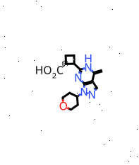 C=C1NC(C2CC[C@H]2C(=O)O)=Nc2c1cnn2C1CCOCC1